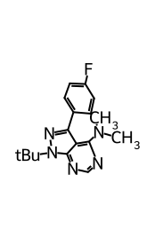 CN(C)c1ncnc2c1c(-c1ccc(F)cc1)nn2C(C)(C)C